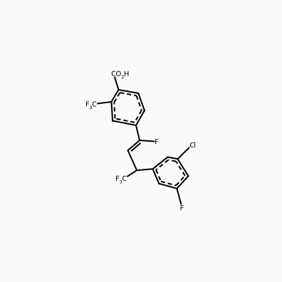 O=C(O)c1ccc(C(F)=CC(c2cc(F)cc(Cl)c2)C(F)(F)F)cc1C(F)(F)F